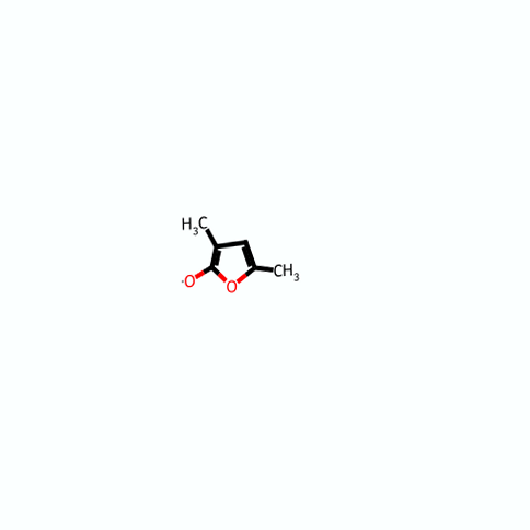 Cc1cc(C)c([O])o1